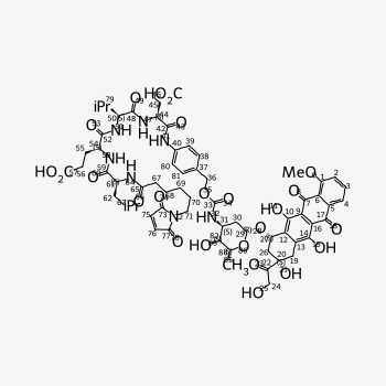 COc1cccc2c1C(=O)c1c(O)c3c(c(O)c1C2=O)C[C@@](O)(C(=O)CO)C[C@@H]3O[C@H]1C[C@H](NC(=O)OCc2ccc(NC(=O)[C@H](CC(=O)O)NC(=O)[C@@H](NC(=O)[C@H](CCC(=O)O)NC(=O)[C@H](CC(C)C)NC(=O)CCCCCN3C(=O)C=CC3=O)C(C)C)cc2)[C@H](O)[C@H](C)O1